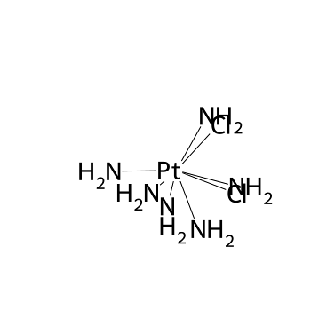 [NH2][Pt]([NH2])([NH2])([NH2])([NH2])([NH2])([Cl])[Cl]